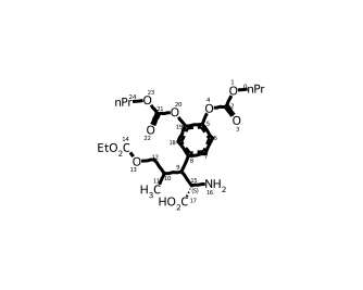 CCCOC(=O)Oc1ccc(C(C(C)COC(=O)OCC)[C@H](N)C(=O)O)cc1OC(=O)OCCC